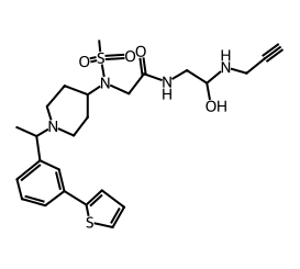 C#CCNC(O)CNC(=O)CN(C1CCN(C(C)c2cccc(-c3cccs3)c2)CC1)S(C)(=O)=O